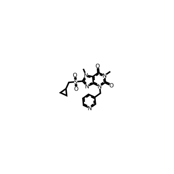 Cn1c(=O)c2c(nc(S(=O)(=O)CC3CC3)n2C)n(Cc2cccnc2)c1=O